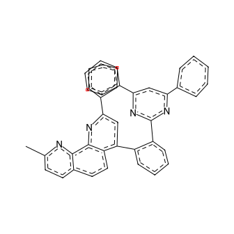 Cc1ccc2ccc3c(-c4ccccc4-c4nc(-c5ccccc5)cc(-c5ccccc5)n4)cc(-c4ccccc4)nc3c2n1